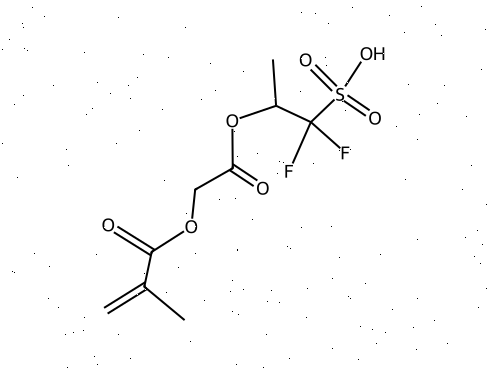 C=C(C)C(=O)OCC(=O)OC(C)C(F)(F)S(=O)(=O)O